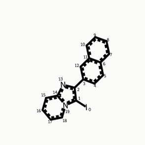 Ic1c(-c2ccc3ccccc3c2)nc2ccccn12